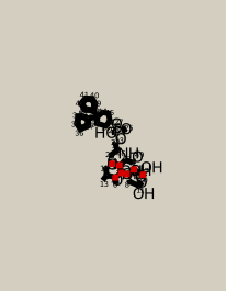 CC(CN(CC(=O)O)CC(=O)O)C(C)CN(CC(=O)O)CC(COP(=O)(O)OC1CCC(c2ccccc2)(c2ccccc2)CC1)NC(C(=O)O)C(=O)O